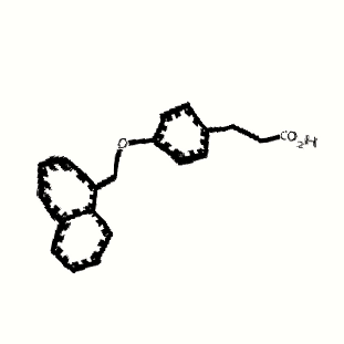 O=C(O)CCc1ccc(OCc2cccc3ccccc23)cc1